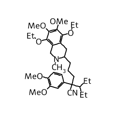 CCOc1c2c(c(OCC)c(OC)c1OC)CN(C)C(CCCC(C#N)(c1ccc(OC)c(OC)c1)C(CC)CC)C2